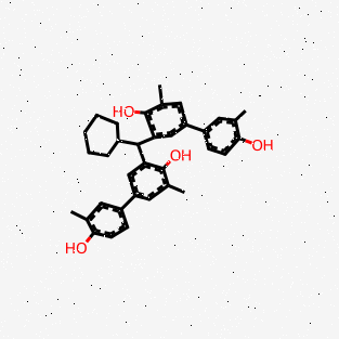 Cc1cc(-c2cc(C)c(O)c(C(c3cc(-c4ccc(O)c(C)c4)cc(C)c3O)C3CCCCC3)c2)ccc1O